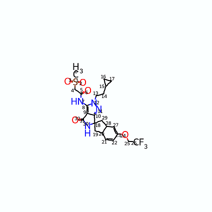 CS(=O)(=O)CC(=O)Nc1c2c(nn1CCC1CC1)C1(CC3C=CC(OCC(F)(F)F)=CC3C1)NC2=O